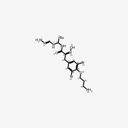 CCCCC(NC=NN)NC(=O)C(Cc1cc(Br)c(OCCCN)c(Br)c1)=NO